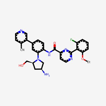 CCOc1cccc(F)c1-c1nccc(C(=O)Nc2ccc(-c3cnccc3C#N)cc2N2C[C@@H](N)C[C@H]2CO)n1